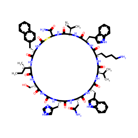 CC[C@H](C)[C@H]1NC(=O)[C@H](Cc2ccc3ccccc3c2)NC(=O)SC(C(N)=O)NC(=O)[C@@H](C(C)C)NC(=O)[C@@H](Cc2c[nH]c3ccccc23)NC(=O)[C@@H](CCCCN)NC(=O)[C@@H](C(C)C)NC(=O)[C@H](Cc2c[nH]c3ccccc23)NC(=O)[C@H](CC(N)=O)NC(=O)[C@H](Cc2c[nH]cn2)NC(=O)NC(=O)[C@H](CO)NC1=O